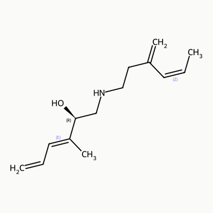 C=C/C=C(\C)[C@@H](O)CNCCC(=C)/C=C\C